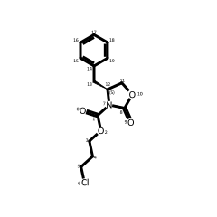 O=C(OCCCCl)N1C(=O)OC[C@@H]1Cc1ccccc1